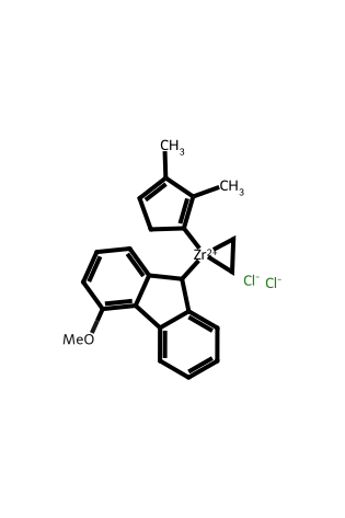 COc1cccc2c1-c1ccccc1[CH]2[Zr+2]1([C]2=C(C)C(C)=CC2)[CH2][CH2]1.[Cl-].[Cl-]